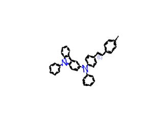 Cc1ccc(/C=C/c2ccc(N(c3ccccc3)c3ccc4c(c3)c3ccccc3n4-c3ccccc3)cc2)cc1